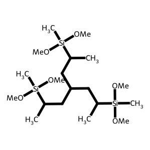 CO[Si](C)(OC)C(C)CC(CC(C)[Si](C)(OC)OC)CC(C)[Si](C)(OC)OC